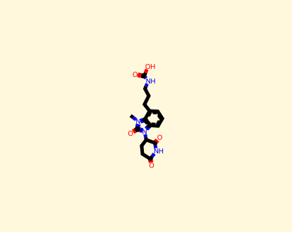 Cn1c(=O)n(C2CCC(=O)NC2=O)c2cccc(CCCNC(=O)O)c21